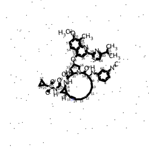 [C-]#[N+]c1cccc(N[C@H]2CCCCC/C=C\[C@@H]3C[C@@]3(C(=O)NS(=O)(=O)C3CC3)NC(=O)[C@@H]3C[C@@H](Oc4cc(-c5nc(C(C)C)cs5)nc5c(C)c(OC)ccc45)CN3C2=O)c1